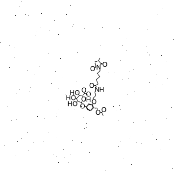 CC(=O)OCc1ccc(O[C@@H]2O[C@H](C(=O)O)[C@@H](O)[C@H](O)[C@H]2O)cc1OCCCNC(=O)CCCCCN1C(=O)CC(C)C1=O